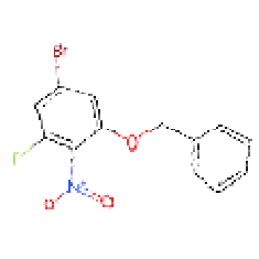 O=[N+]([O-])c1c(F)cc(Br)cc1OCc1ccccc1